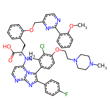 COc1ccccc1-c1nccc(COc2ccccc2C[C@@H](Nc2ccnc3nc(-c4ccc(F)cc4)c(-c4ccc(OCCN5CCN(C)CC5)c(Cl)c4C)n23)C(=O)O)n1